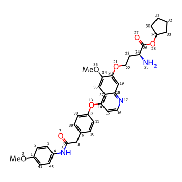 COc1ccc(NC(=O)Cc2ccc(Oc3ccnc4cc(OCC[C@H](N)C(=O)OC5CCCC5)c(OC)cc34)cc2)cc1